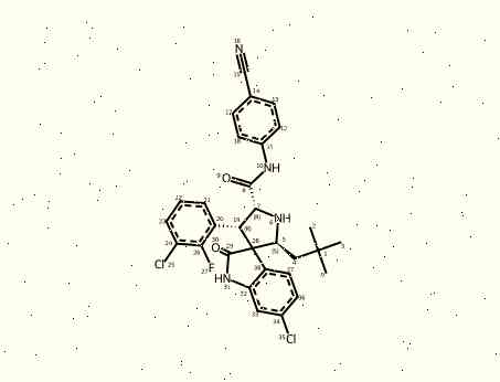 CC(C)(C)C[C@@H]1N[C@@H](C(=O)Nc2ccc(C#N)cc2)[C@@H](c2cccc(Cl)c2F)C12C(=O)Nc1cc(Cl)ccc12